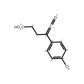 O=C=C(CCC(=O)O)c1ccc(Cl)cc1